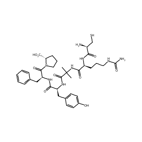 CC(C)(NC(=O)[C@H](CCCNC(N)=O)NC(=O)[C@@H](N)CS)C(=O)N[C@@H](Cc1ccc(O)cc1)C(=O)N[C@@H](Cc1ccccc1)C(=O)N1CCC[C@H]1C(=O)O